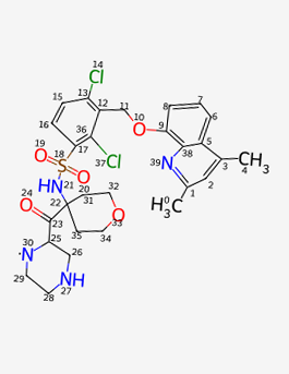 Cc1cc(C)c2cccc(OCc3c(Cl)ccc(S(=O)(=O)NC4(C(=O)C5CNCC[N]5)CCOCC4)c3Cl)c2n1